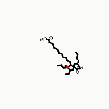 CCCCC(CC)CC(CC(CC)CCCC)(C(=O)O)C(CC)CCCCCCCCCCC(=O)O